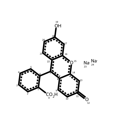 O=C(O)c1ccccc1-c1c2ccc(=O)cc-2oc2cc(O)ccc12.[Na].[Na]